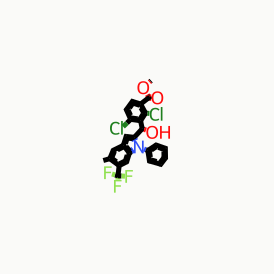 COC(=O)c1ccc(Cl)c(C(O)c2cc3cc(C)c(C(F)(F)F)cc3n2-c2ccccc2)c1Cl